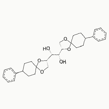 O[C@H]([C@@H](O)[C@@H]1COC2(CCC(c3ccccc3)CC2)O1)[C@@H]1COC2(CCC(c3ccccc3)CC2)O1